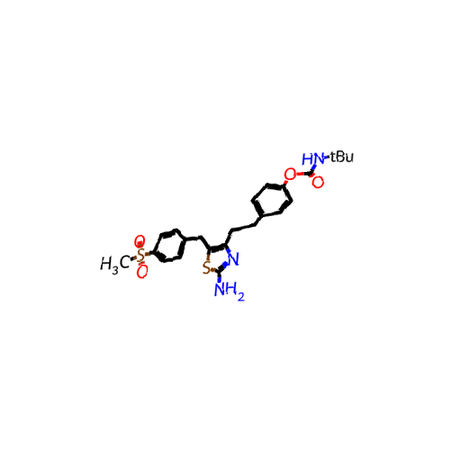 CC(C)(C)NC(=O)Oc1ccc(CCc2nc(N)sc2Cc2ccc(S(C)(=O)=O)cc2)cc1